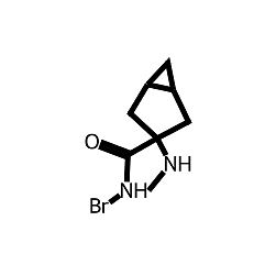 CNC1(C(=O)NBr)CC2CC2C1